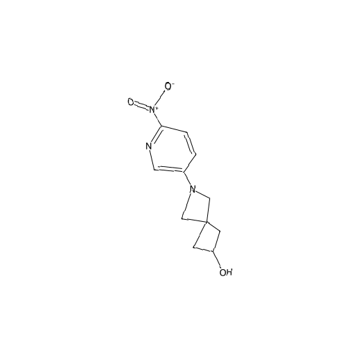 O=[N+]([O-])c1ccc(N2CC3(CC(O)C3)C2)cn1